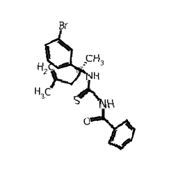 C=C(C)C[C@](C)(NC(=S)NC(=O)c1ccccc1)c1cccc(Br)c1